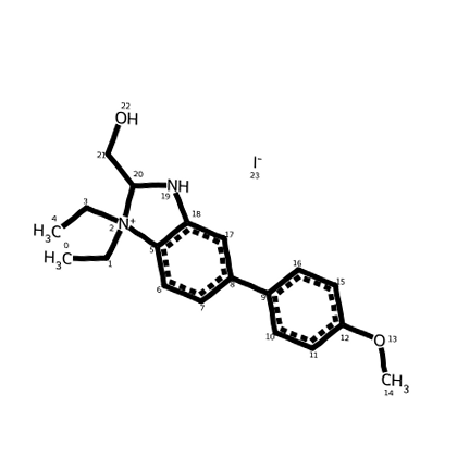 CC[N+]1(CC)c2ccc(-c3ccc(OC)cc3)cc2NC1CO.[I-]